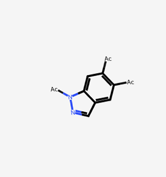 CC(=O)c1cc2cnn(C(C)=O)c2cc1C(C)=O